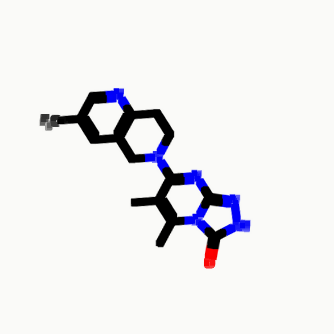 Cc1c(N2CCc3ncc(C(F)(F)F)cc3C2)nc2n[nH]c(=O)n2c1C